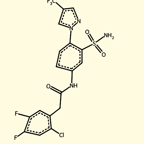 NS(=O)(=O)c1cc(NC(=O)Cc2cc(F)c(F)cc2Cl)ccc1-n1cc(C(F)(F)F)cn1